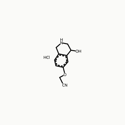 Cl.N#CCOc1ccc2c(c1)C(O)CNC2